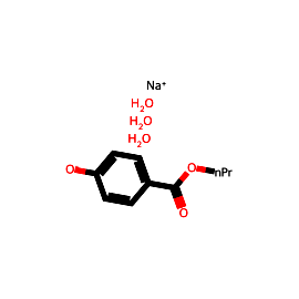 CCCOC(=O)c1ccc([O-])cc1.O.O.O.[Na+]